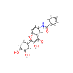 O=C(Nc1ccc2oc(-c3ccc(O)c(O)c3)c(O)c(=O)c2c1)c1ccccc1